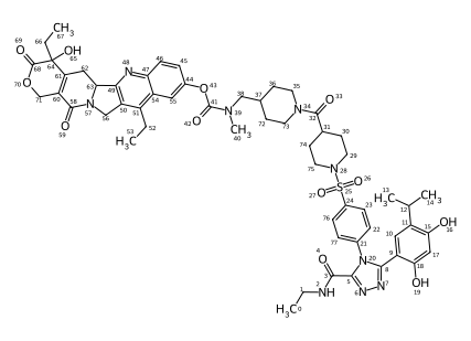 CCNC(=O)c1nnc(-c2cc(C(C)C)c(O)cc2O)n1-c1ccc(S(=O)(=O)N2CCC(C(=O)N3CCC(CN(C)C(=O)Oc4ccc5nc6c(c(CC)c5c4)CN4C(=O)C5=C(CC64)C(O)(CC)C(=O)OC5)CC3)CC2)cc1